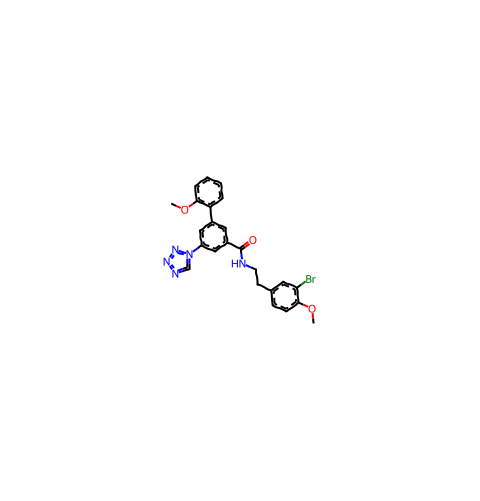 COc1ccc(CCNC(=O)c2cc(-c3ccccc3OC)cc(-n3cnnn3)c2)cc1Br